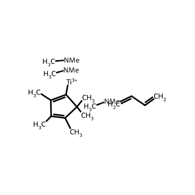 C=CC=C.CC1=C(C)C(C)(C)[C]([Ti+3])=C1C.C[N-]C.C[N-]C.C[N-]C